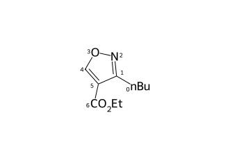 CCCCc1nocc1C(=O)OCC